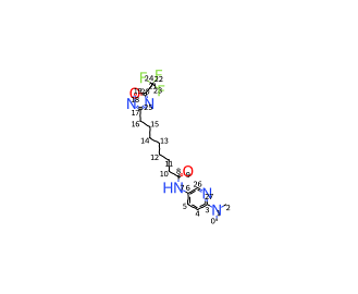 CN(C)c1ccc(NC(=O)CCCCCCCc2noc(C(F)(F)F)n2)cn1